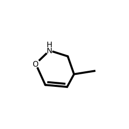 CC1C=CONC1